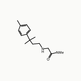 CNC(=O)CNCCC(C)(C)c1ccc(C)cc1